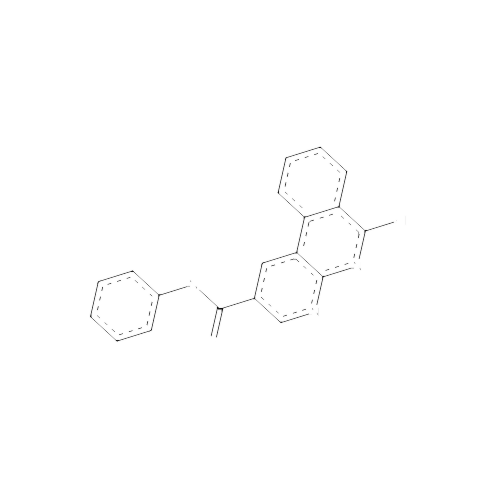 O=C(Nc1ccccc1)c1cnc2nc(Cl)c3ccccc3c2c1